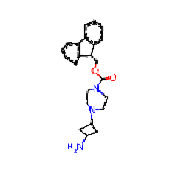 NC1CC(N2CCN(C(=O)OCC3c4ccccc4-c4ccccc43)CC2)C1